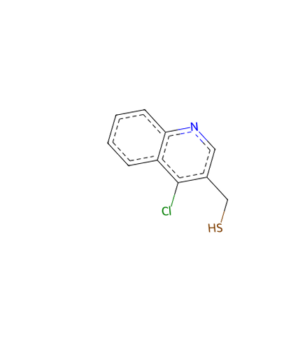 SCc1cnc2ccccc2c1Cl